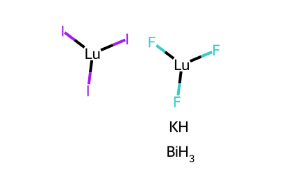 [BiH3].[F][Lu]([F])[F].[I][Lu]([I])[I].[KH]